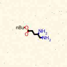 CCCCOC(=O)CCC(N)CN